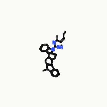 C=C(/C=C\CC)/N=C(\NC)n1c2ccccc2c2c3c(ccc21)C1=C(C3)C(C)c2ccccc21